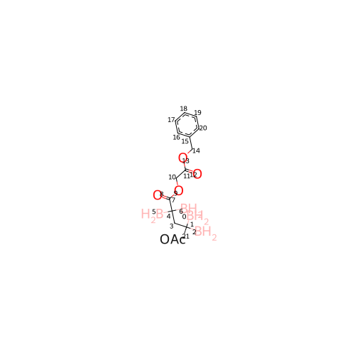 BC(B)(CC(B)(B)C(=O)OCC(=O)OCc1ccccc1)OC(C)=O